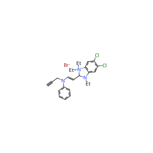 C#CCN(C=CC1N(CC)c2cc(Cl)c(Cl)cc2[N+]1(CC)CC)c1ccccc1.[Br-]